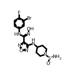 N[S+]([O-])N1CCC(Nc2nonc2/C(=N/O)Nc2ccc(F)c(Br)c2)CC1